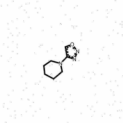 [CH]1CCCN(c2conn2)C1